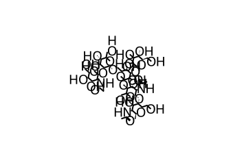 CC(=O)NC1C(O)[C@H](O)C(CO)O[C@H]1OC1[C@@H](OCC2O[C@@H](O[C@@H]3C(CO)O[C@@H](O[C@@H]4C(CO)O[C@@H](C)C(NC(C)=O)[C@H]4O)C(NC(C)=O)[C@H]3O)C(O)[C@@H](O[C@H]3O[C@H](CO)[C@@H](O)C(O)C3O)[C@@H]2O)OC(CO)[C@@H](O)[C@@H]1O